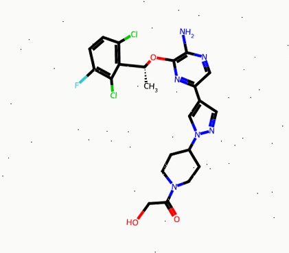 C[C@@H](Oc1nc(-c2cnn(C3CCN(C(=O)CO)CC3)c2)cnc1N)c1c(Cl)ccc(F)c1Cl